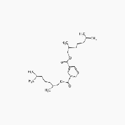 CC(C)CCCC(C)COC(=O)c1cccc(C(=O)OCC(C)CCCC(C)C)c1